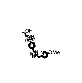 COc1ccc(Cn2nnc(-c3ccc(S(=O)(=O)NC[C@@H](C)O)cc3)n2)nc1